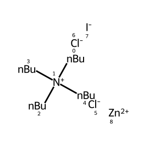 CCCC[N+](CCCC)(CCCC)CCCC.[Cl-].[Cl-].[I-].[Zn+2]